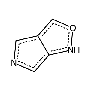 c1ncc2[nH]occ1-2